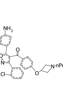 CCCN1CC(Oc2ccc(C(=O)c3c(-c4ccccc4Cl)noc3-c3ccc(N)cc3)cc2)C1